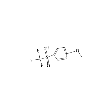 COc1ccc(S(=N)(=O)C(F)(F)F)cc1